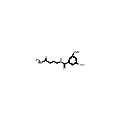 COc1cc(OC)cc(C(=O)NCCCC(=O)NC(C)C)c1